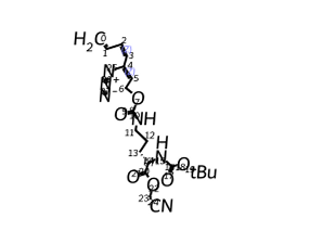 C=C/C=C\C(=C\COC(=O)NCCC[C@H](NC(=O)OC(C)(C)C)C(=O)OCC#N)N=[N+]=[N-]